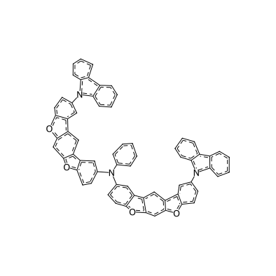 c1ccc(N(c2ccc3oc4cc5oc6ccc(-n7c8ccccc8c8ccccc87)cc6c5cc4c3c2)c2ccc3oc4cc5oc6ccc(-n7c8ccccc8c8ccccc87)cc6c5cc4c3c2)cc1